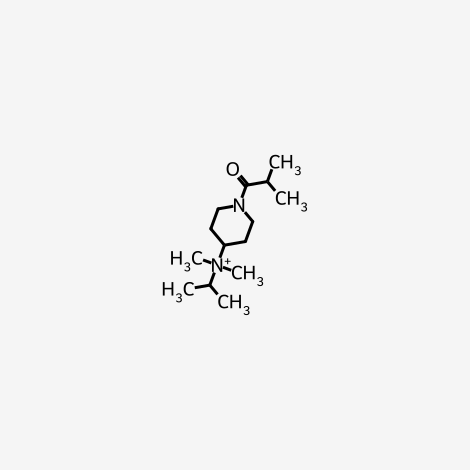 CC(C)C(=O)N1CCC([N+](C)(C)C(C)C)CC1